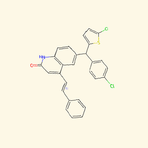 O=c1cc(/C=C/c2ccccc2)c2cc(C(c3ccc(Cl)cc3)c3ccc(Cl)s3)ccc2[nH]1